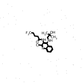 CC(C)(O)CNc1c(NC(=O)CCCC(F)(F)F)c(Cl)nc2ccccc12